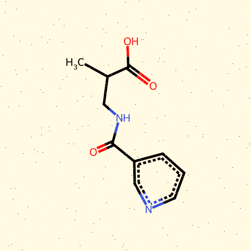 CC(CNC(=O)c1cccnc1)C(=O)O